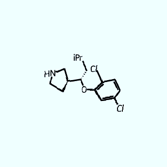 CC(C)C[C@H](Oc1cc(Cl)ccc1Cl)[C@H]1CCNC1